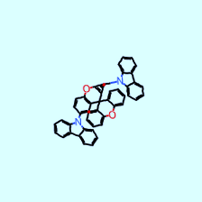 c1ccc2c(c1)Oc1ccccc1C21c2cc(-n3c4ccccc4c4ccccc43)ccc2Oc2ccc(-n3c4ccccc4c4ccccc43)cc21